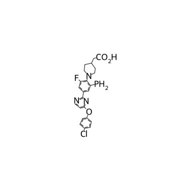 O=C(O)CC1CCN(c2c(F)cc(-c3nccc(Oc4ccc(Cl)cc4)n3)cc2P)CC1